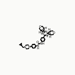 O=C(Nc1ccc(-c2nc(N3[C@@H]4COC[C@H]3[C@H](F)C4)nc(N3[C@@H]4COC[C@H]3[C@H](F)C4)n2)cc1)Nc1ccc(N2CCN(CC3CC3)CC2)cc1